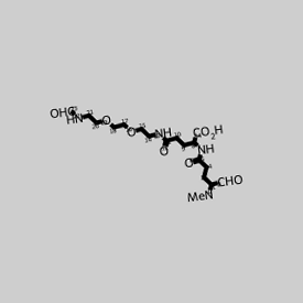 CNC(C=O)CCC(=O)NC(CCC(=O)NCCOCCOCCNC=O)C(=O)O